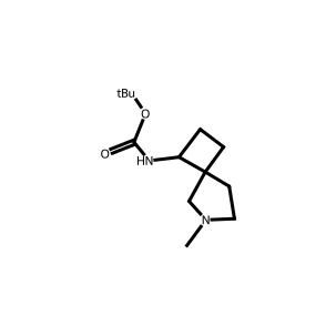 CN1CCC2(CCC2NC(=O)OC(C)(C)C)C1